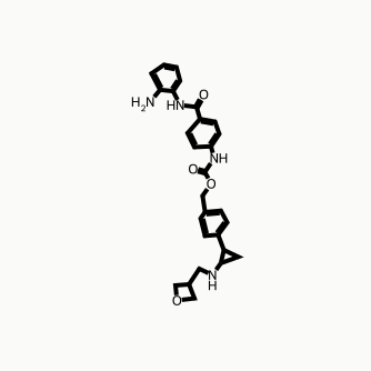 Nc1ccccc1NC(=O)c1ccc(NC(=O)OCc2ccc(C3CC3NCC3COC3)cc2)cc1